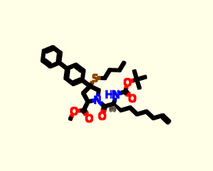 C=CCCCCC[C@H](NC(=O)OC(C)(C)C)C(=O)N1CC(SCCCC)(c2ccc(-c3ccccc3)cc2)CC1C(=O)OC